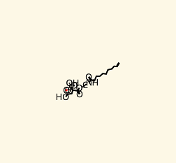 C=CCCCCCCCCC(=O)NCCOC(=O)C(CC(=O)O)S(=O)(=O)O